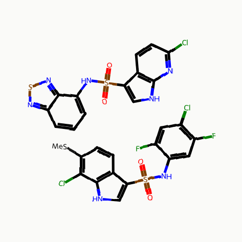 CSc1ccc2c(S(=O)(=O)Nc3cc(F)c(Cl)cc3F)c[nH]c2c1Cl.O=S(=O)(Nc1cccc2nsnc12)c1c[nH]c2nc(Cl)ccc12